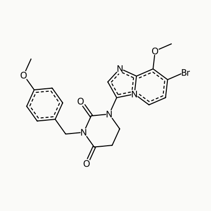 COc1ccc(CN2C(=O)CCN(c3cnc4c(OC)c(Br)ccn34)C2=O)cc1